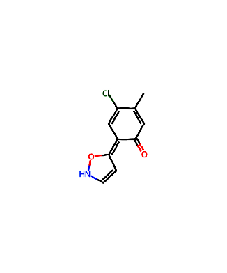 CC1=CC(=O)C(=C2C=CNO2)C=C1Cl